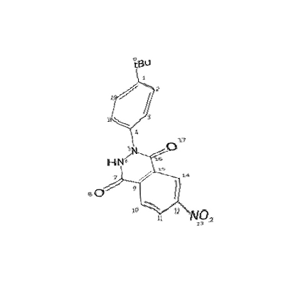 CC(C)(C)c1ccc(-n2[nH]c(=O)c3ccc([N+](=O)[O-])cc3c2=O)cc1